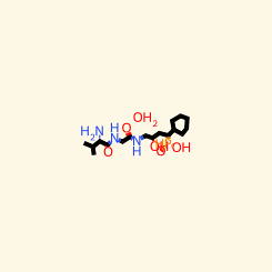 CC(C)[C@H](N)C(=O)NCC(=O)NC[C@H](O)CC(C1CCCCC1)[PH](=O)O.O